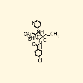 CCCC(Cl)(Cl)C(NC(=O)c1ccc(Cl)cc1)NC(=C[N+](=O)[O-])Nc1cccnc1